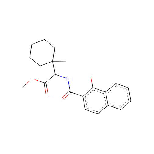 COC(=O)C(NC(=O)c1ccc2ccccc2c1O)C1(C)CCCCC1